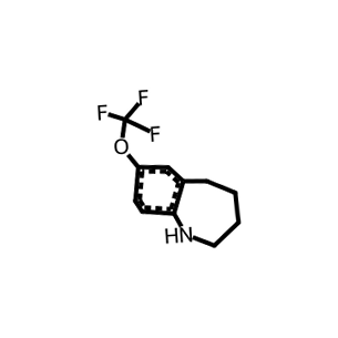 FC(F)(F)Oc1ccc2c(c1)CCCCN2